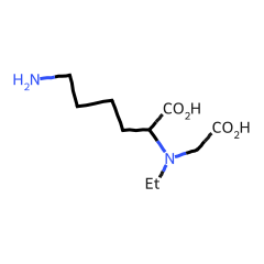 CCN(CC(=O)O)C(CCCCN)C(=O)O